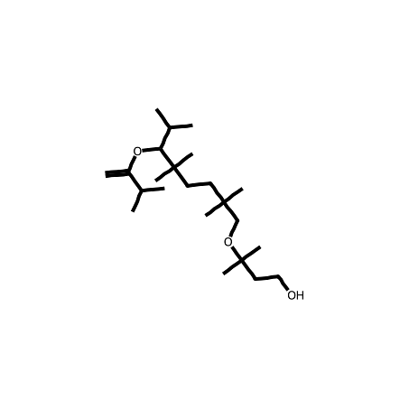 C=C(OC(C(C)C)C(C)(C)CCC(C)(C)COC(C)(C)CCO)C(C)C